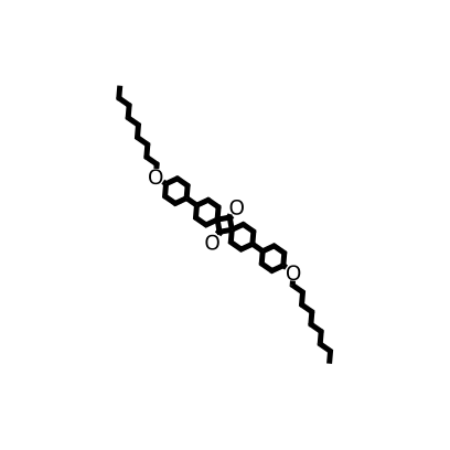 CCCCCCCCCOC1CCC(C2CCC3(CC2)C(=O)C2(CCC(C4CCC(OCCCCCCCCC)CC4)CC2)C3=O)CC1